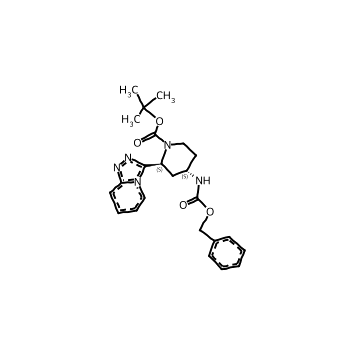 CC(C)(C)OC(=O)N1CC[C@H](NC(=O)OCc2ccccc2)C[C@H]1c1nnc2ccccn12